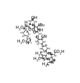 Cc1ncsc1-c1ccc([C@H](C)NC(=O)[C@@H]2C[C@@H](O)CN2C(=O)C(NC(=O)COc2ccc(-c3ccc(C4=N[C@@H](CC(=O)O)c5nnc(C)n5-c5sc(C)c(C)c54)cc3)cc2C#N)C(C)(C)C)cc1